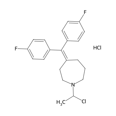 CC(Cl)N1CCCC(=C(c2ccc(F)cc2)c2ccc(F)cc2)CC1.Cl